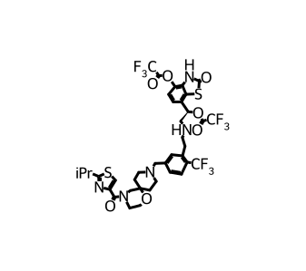 CC(C)c1nc(C(=O)N2CCOC3(CCN(Cc4ccc(C(F)(F)F)c(CCNC[C@H](OC(=O)C(F)(F)F)c5ccc(OC(=O)C(F)(F)F)c6[nH]c(=O)sc56)c4)CC3)C2)cs1